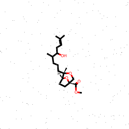 COC(=O)[C@@]12CC[C@@H](O1)[C@](C)(CCCC(C)C(O)CC=C(C)C)OC2